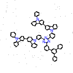 c1ccc(-c2cc(-c3ccccc3)cc(-c3cccc(-c4nc(-c5cccc(-n6c7ccccc7c7cc(-c8ccc9c(c8)c8ccccc8n9-c8ccccc8)ccc76)c5)nc(-c5cccc(-n6c7ccccc7c7cc(-c8ccc9c(c8)c8ccccc8n9-c8ccccc8)ccc76)c5)n4)c3)c2)cc1